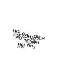 Cl.Cl.NCCN(CC(O)C(O)C(O)C(O)CO)CC(O)C(O)C(O)C(O)CO